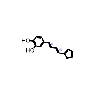 Oc1ccc(/C=C/C=C/C2=CC=CC2)cc1O